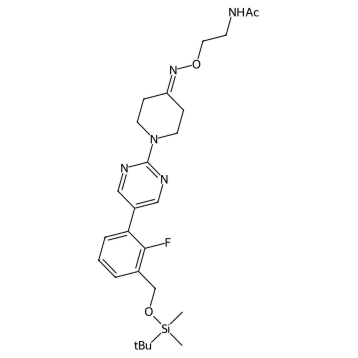 CC(=O)NCCON=C1CCN(c2ncc(-c3cccc(CO[Si](C)(C)C(C)(C)C)c3F)cn2)CC1